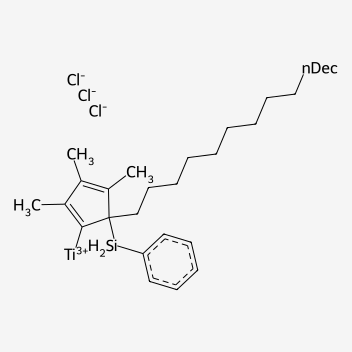 CCCCCCCCCCCCCCCCCCCC1([SiH2]c2ccccc2)C(C)=C(C)C(C)=[C]1[Ti+3].[Cl-].[Cl-].[Cl-]